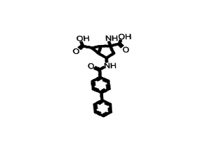 NC1(C(=O)O)CC(NC(=O)c2ccc(-c3ccccc3)cc2)C2C(C(=O)O)C21